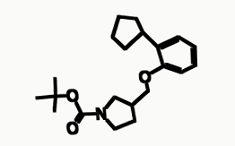 CC(C)(C)OC(=O)N1CCC(COc2ccccc2C2CCCC2)C1